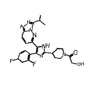 CC(C)c1nnc2ccc(-c3[nH]c(C4CCN(C(=O)CO)CC4)nc3C3=C(F)CC(F)C=C3)nn12